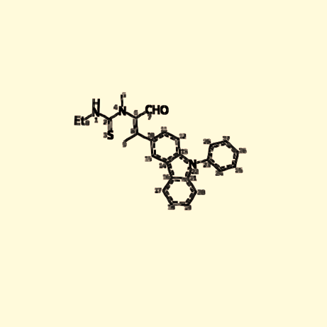 CCNC(=S)N(C)/C(C=O)=C(\C)c1ccc2c(c1)c1ccccc1n2-c1ccccc1